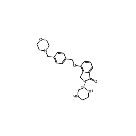 O=C1c2cccc(OCc3ccc(CN4CCOCC4)cc3)c2CN1[C@H]1CNCCN1